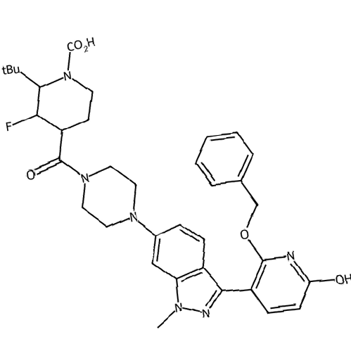 Cn1nc(-c2ccc(O)nc2OCc2ccccc2)c2ccc(N3CCN(C(=O)C4CCN(C(=O)O)C(C(C)(C)C)C4F)CC3)cc21